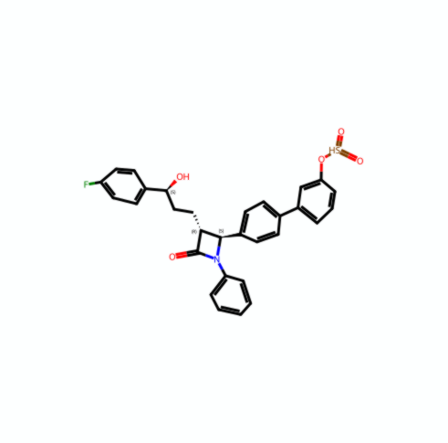 O=C1[C@H](CC[C@H](O)c2ccc(F)cc2)[C@@H](c2ccc(-c3cccc(O[SH](=O)=O)c3)cc2)N1c1ccccc1